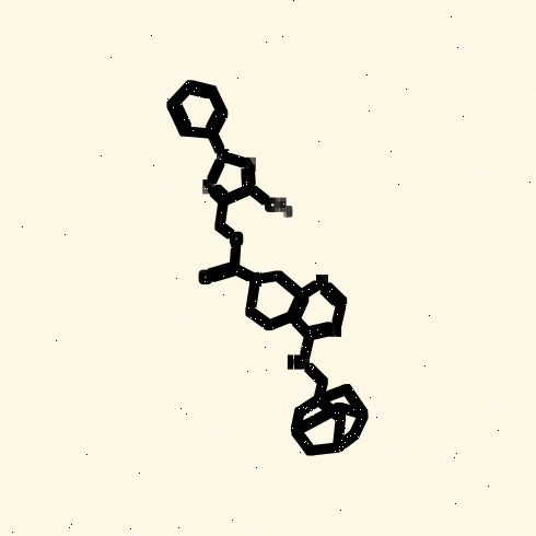 Cc1nn(-c2ccccc2)nc1COC(=O)N1CCc2c(ncnc2NCC23CC4CC(CC(C4)C2)C3)C1